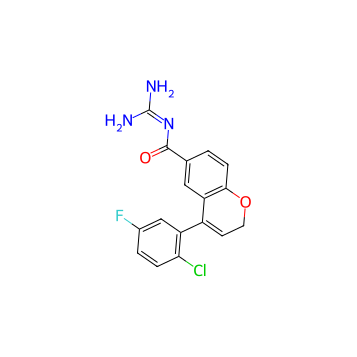 NC(N)=NC(=O)c1ccc2c(c1)C(c1cc(F)ccc1Cl)=CCO2